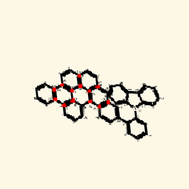 c1ccc(-c2ccccc2-c2c(-c3ccccc3)cccc2N(c2ccc(-c3ccccc3-n3c4ccccc4c4ccccc43)cc2)c2ccccc2-c2ccccc2)cc1